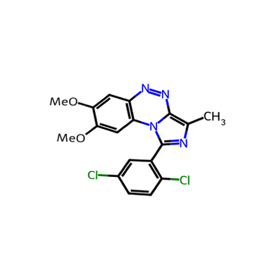 COc1cc2nnc3c(C)nc(-c4cc(Cl)ccc4Cl)n3c2cc1OC